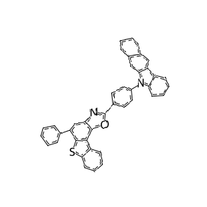 c1ccc(-c2cc3nc(-c4ccc(-n5c6ccccc6c6cc7ccccc7cc65)cc4)oc3c3c2sc2ccccc23)cc1